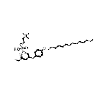 CCCCCCCCCCCCCCOc1ccc(CC(COP(=O)(O)OCC[N+](C)(C)C)CC(=O)CC)cc1